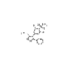 NS(=O)(=O)c1c(F)cc(-c2c(-c3ccccc3)noc2CO)cc1F